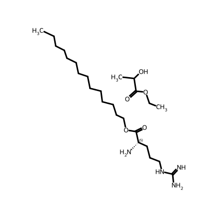 CCCCCCCCCCCCCCOC(=O)[C@@H](N)CCCNC(=N)N.CCOC(=O)C(C)O